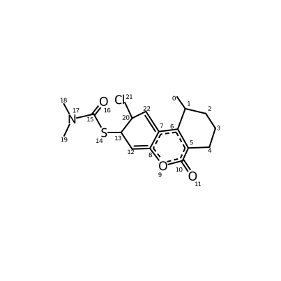 CC1CCCc2c1c1c(oc2=O)=CC(SC(=O)N(C)C)C(Cl)C=1